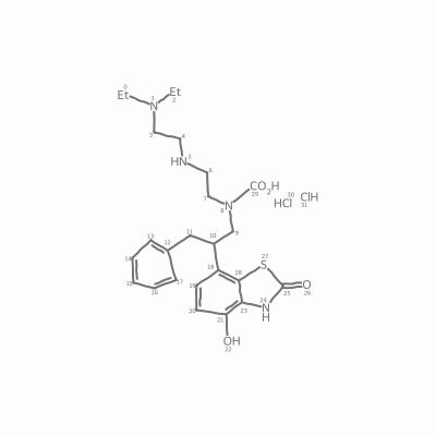 CCN(CC)CCNCCN(CC(Cc1ccccc1)c1ccc(O)c2[nH]c(=O)sc12)C(=O)O.Cl.Cl